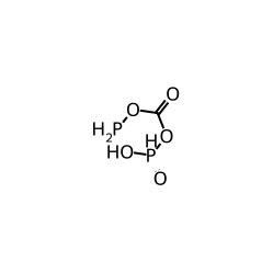 O=C(OP)O[PH](=O)O